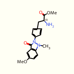 COC(=O)[C@@H](N)Cc1ccc(-n2c(=O)c3cc(OC)ccc3n2C)cc1